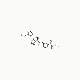 CNC(=O)c1cccc(CNc2ncc(-c3ccnc(N)n3)c3c2OCC3)c1